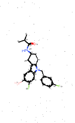 Bc1cc2c3c(n(Cc4cccc(F)c4)c2cc1F)CCC(NC(=O)C(C)C)C3